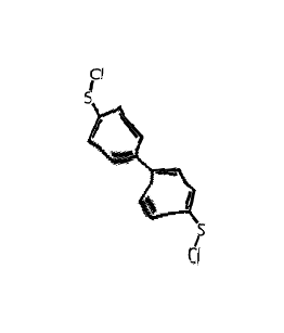 ClSc1ccc(-c2ccc(SCl)cc2)cc1